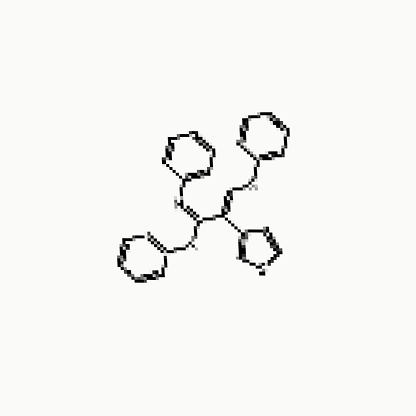 C(/Sc1ccccc1)=C(\C(=N/c1ccccc1)Sc1ccccc1)c1ccsc1